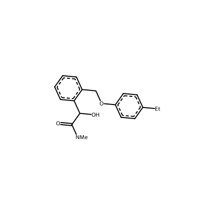 CCc1ccc(OCc2ccccc2C(O)C(=O)NC)cc1